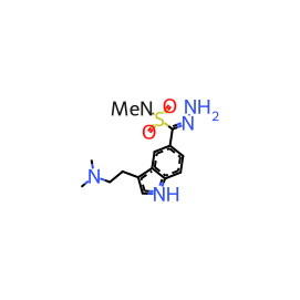 CNS(=O)(=O)C(=NN)c1ccc2[nH]cc(CCN(C)C)c2c1